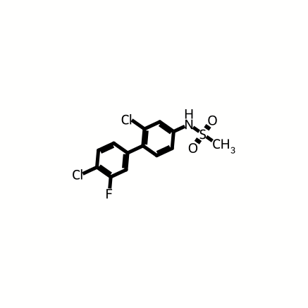 CS(=O)(=O)Nc1ccc(-c2ccc(Cl)c(F)c2)c(Cl)c1